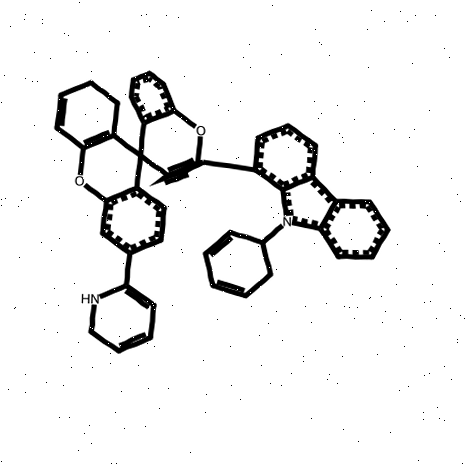 C1=CCNC(c2ccc3c(c2)OC2=C(CCC=C2)C32C3=C(Oc4ccccc42)C(c2cccc4c5ccccc5n(C5C=CC=CC5)c24)CC=C3)=C1